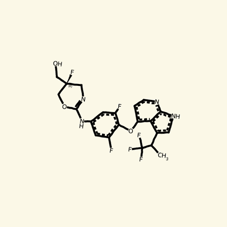 CC(c1c[nH]c2nccc(Oc3c(F)cc(NC4=NC[C@@](F)(CO)CO4)cc3F)c12)C(F)(F)F